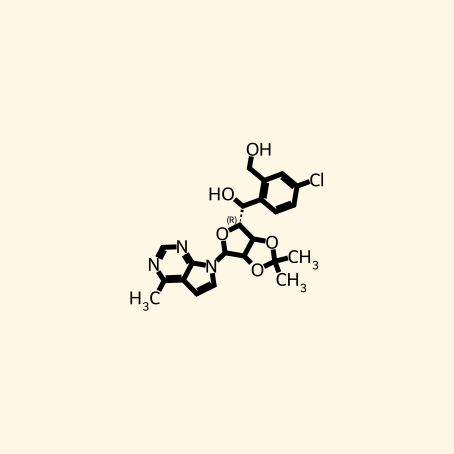 Cc1ncnc2c1ccn2C1O[C@H](C(O)c2ccc(Cl)cc2CO)C2OC(C)(C)OC21